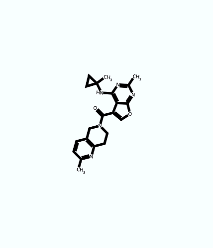 Cc1ccc2c(n1)CCN(C(=O)c1coc3nc(C)nc(NC4(C)CC4)c13)C2